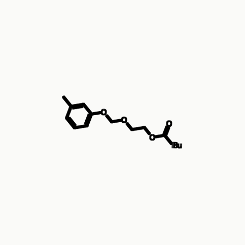 CCC(C)C(=O)OCCOCOc1cccc(C)c1